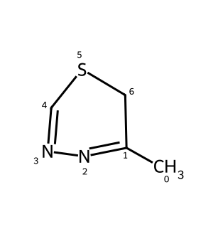 CC1=NN=CSC1